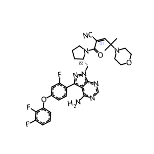 CC(C)(/C=C(/C#N)C(=O)N1CCC[C@H]1Cn1nc(-c2ccc(Oc3cccc(F)c3F)cc2F)c2c(N)ncnc21)N1CCOCC1